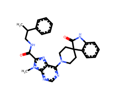 CC(CNC(=O)c1nc2c(N3CCC4(CC3)C(=O)Nc3ccccc34)ncnc2n1C)c1ccccc1